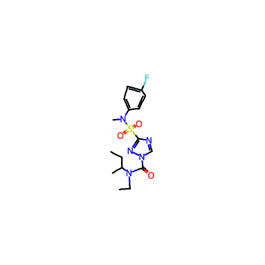 CCC(C)N(CC)C(=O)n1cnc(S(=O)(=O)N(C)c2ccc(F)cc2)n1